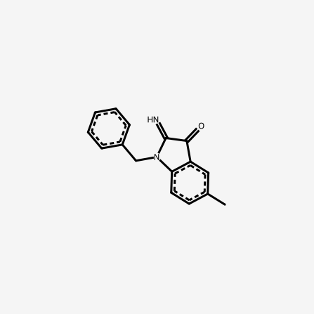 Cc1ccc2c(c1)C(=O)C(=N)N2Cc1ccccc1